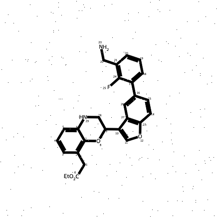 CCOC(=O)Cc1cccc2c1OC(c1coc3ccc(-c4cccc(CN)c4F)cc13)CN2